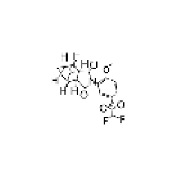 COc1ccc(S(=O)(=O)C(F)F)cc1N1C(=O)[C@@H]2[C@@H]3CC[C@@H]([C@H]4C[C@H]43)[C@@H]2C1=O